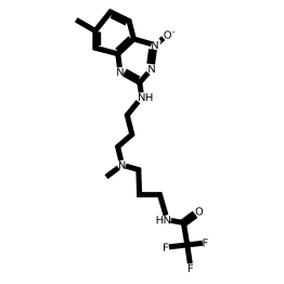 Cc1ccc2c(c1)nc(NCCCN(C)CCCNC(=O)C(F)(F)F)n[n+]2[O-]